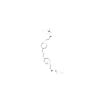 CCC(C)OC(=O)CCN1CCC(CCCC2CCN(CCC(=O)OC(C)(C)CC)CC2)CC1